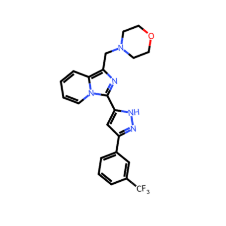 FC(F)(F)c1cccc(-c2cc(-c3nc(CN4CCOCC4)c4ccccn34)[nH]n2)c1